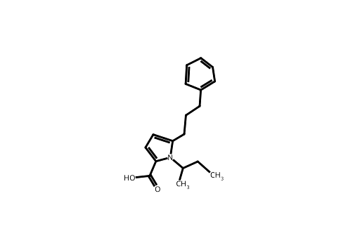 CCC(C)n1c(CCCc2ccccc2)ccc1C(=O)O